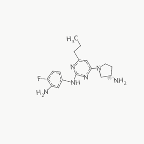 CCCc1cc(N2CC[C@H](N)C2)nc(Nc2ccc(F)c(N)c2)n1